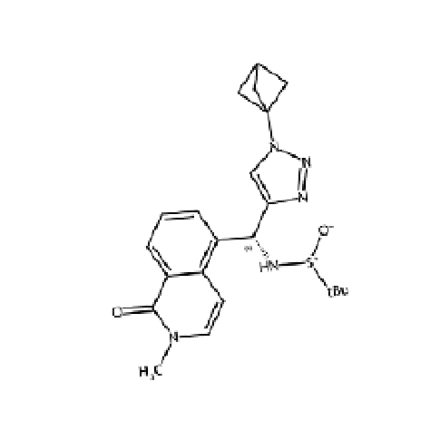 Cn1ccc2c([C@@H](N[S+]([O-])C(C)(C)C)c3cn(C45CC(C4)C5)nn3)cccc2c1=O